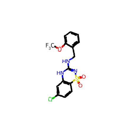 O=S1(=O)N=C(NCc2ccccc2OC(F)(F)F)Nc2cc(Cl)ccc21